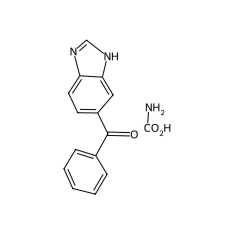 NC(=O)O.O=C(c1ccccc1)c1ccc2nc[nH]c2c1